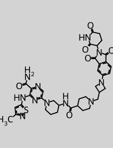 Cc1cc(Nc2nc(N3CCCC(NC(=O)C4CCN(CC5CN(c6ccc7c(c6)C(=O)N(C6CCC(=O)NC6=O)C7=O)C5)CC4)C3)cnc2C(N)=O)sn1